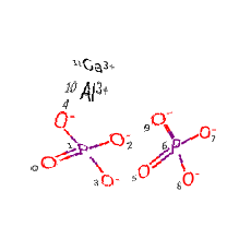 O=P([O-])([O-])[O-].O=P([O-])([O-])[O-].[Al+3].[Ga+3]